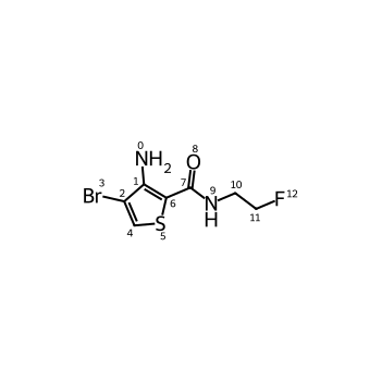 Nc1c(Br)csc1C(=O)NCCF